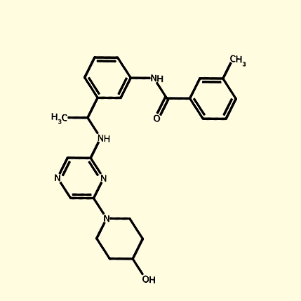 Cc1cccc(C(=O)Nc2cccc(C(C)Nc3cncc(N4CCC(O)CC4)n3)c2)c1